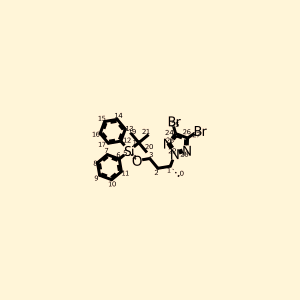 C[C@H](CCO[Si](c1ccccc1)(c1ccccc1)C(C)(C)C)n1nc(Br)c(Br)n1